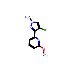 COc1cccc(-c2nn(C)cc2Br)n1